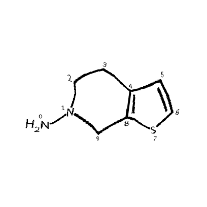 NN1CCc2ccsc2C1